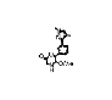 COC1NCC(=O)OC1c1cccc(-c2nn(C)cc2C)c1